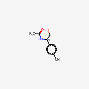 N#Cc1ccc([C@H](CO)NC(=O)C(F)(F)F)cc1